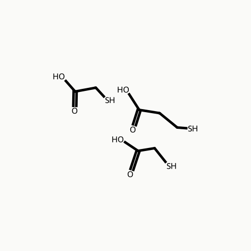 O=C(O)CCS.O=C(O)CS.O=C(O)CS